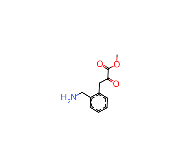 COC(=O)C(=O)Cc1ccccc1CN